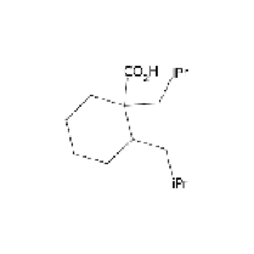 CC(C)CC1CCCCC1(CC(C)C)C(=O)O